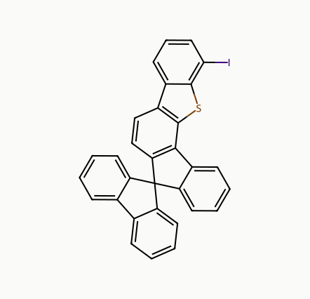 Ic1cccc2c1sc1c3c(ccc12)C1(c2ccccc2-c2ccccc21)c1ccccc1-3